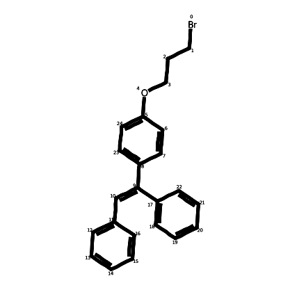 BrCCCOc1ccc(C(=Cc2ccccc2)c2ccccc2)cc1